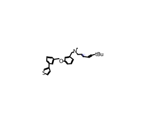 CN(C/C=C/C#CC(C)(C)C)Cc1cccc(OCc2cccc(-c3ccsc3)c2)c1